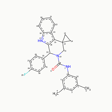 Cc1cc(C)cc(NC(=O)N2CC3(CC3)c3c([nH]c4ccccc34)C2c2ccc(F)cc2)c1